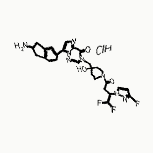 Cl.NC1Cc2ccc(-c3cnc4c(=O)n(CC5(O)CCN(C(=O)CC(C(F)F)n6ccc(F)n6)CC5)cnn34)cc2C1